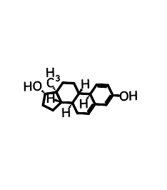 C[C@]12CC[C@H]3[C@@H](CC=C4C=C(O)C=C[C@@H]43)[C@@H]1CC[C@@H]2O